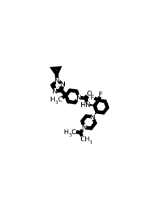 CC(C)N1CCN([C@H]2CCCC(F)(F)[C@@H]2NC(=O)N2CCC(C)(c3ncn(C4CC4)n3)CC2)CC1